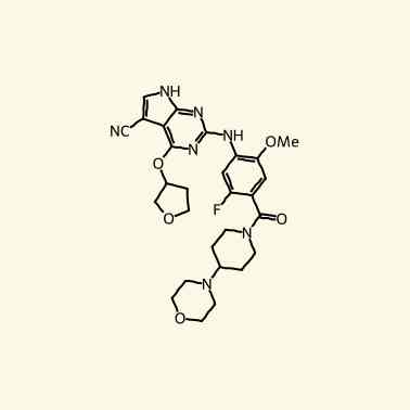 COc1cc(C(=O)N2CCC(N3CCOCC3)CC2)c(F)cc1Nc1nc(OC2CCOC2)c2c(C#N)c[nH]c2n1